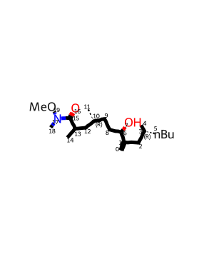 C=C(C[C@H](C)CCCC)C(O)CC[C@@H](C)CC(C)C(=O)N(C)OC